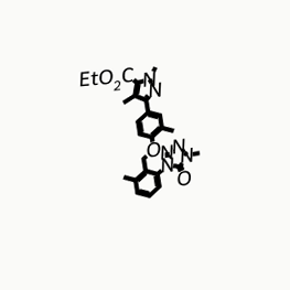 CCOC(=O)c1c(C)c(-c2ccc(OCc3c(C)cccc3-n3nnn(C)c3=O)c(C)c2)nn1C